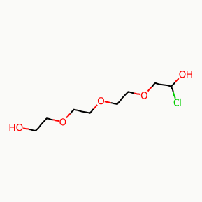 OCCOCCOCCOCC(O)Cl